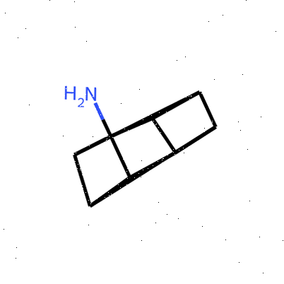 NC12C3C4C5C3C1C5C42